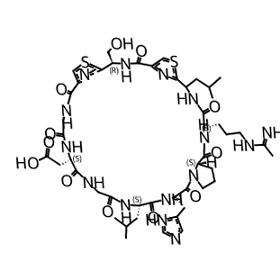 CC(=N)NCCC[C@@H]1NC(=O)[C@@H]2CCCN2C(=O)[C@H](Cc2cnc[nH]2)NC(=O)[C@H](CC(C)C)NC(=O)CNC(=O)[C@H](CC(=O)O)NC(=O)CNC(=O)c2csc(n2)[C@@H](CO)NC(=O)c2csc(n2)C(CC(C)C)NC1=O